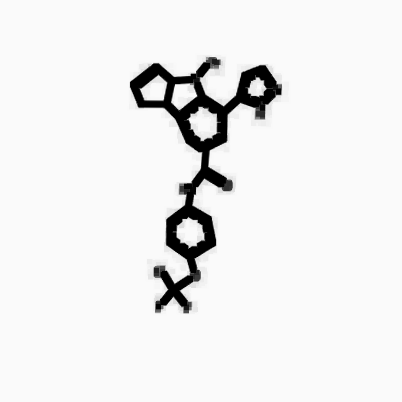 CC(C)N1c2c(-c3ccn[nH]3)cc(C(=O)Nc3ccc(OC(F)(F)Cl)cc3)cc2C2CC=CC21